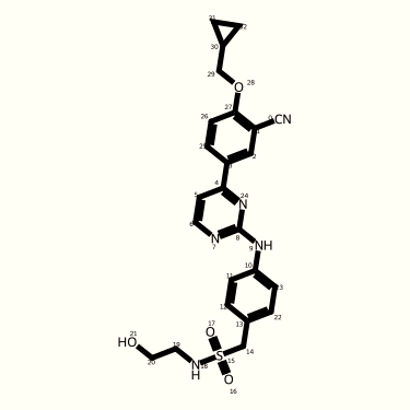 N#Cc1cc(-c2ccnc(Nc3ccc(CS(=O)(=O)NCCO)cc3)n2)ccc1OCC1CC1